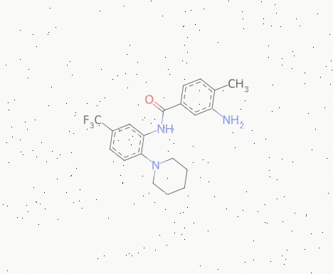 Cc1ccc(C(=O)Nc2cc(C(F)(F)F)ccc2N2CCCCC2)cc1N